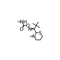 CNC(=O)ON=C(C1SCCCN1C)C(C)(C)C